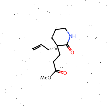 C=CC[C@]1(CCC(=O)OC)CCCNC1=O